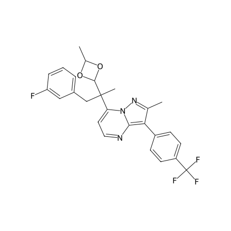 Cc1nn2c(C(C)(Cc3cccc(F)c3)C3OC(C)O3)ccnc2c1-c1ccc(C(F)(F)F)cc1